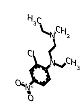 CCN(C)CCN(CC)c1ccc([N+](=O)[O-])cc1Cl